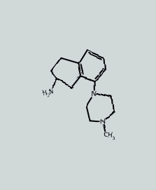 CN1CCN(c2cccc3c2CC(N)CC3)CC1